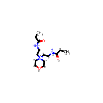 CCC(=O)NCC[N+]1(CCNC(=O)CC)CCOCC1